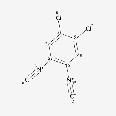 [C-]#[N+]c1cc(Cl)c(Cl)cc1[N+]#[C-]